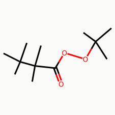 CC(C)(C)OOC(=O)C(C)(C)C(C)(C)C